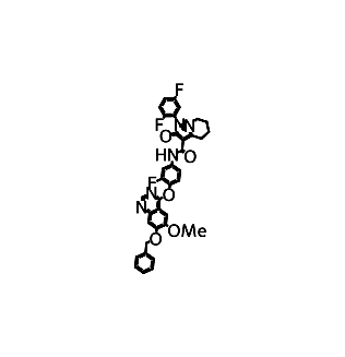 COc1cc2c(Oc3ccc(NC(=O)c4c5n(n(-c6cc(F)ccc6F)c4=O)CCCC5)cc3F)ncnc2cc1OCc1ccccc1